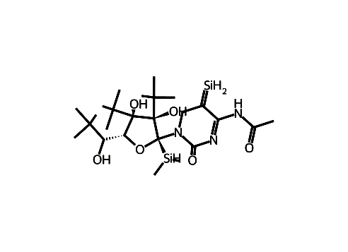 CC(=O)NC1=NC(=O)N([C@]2([SiH](C)C)O[C@H](C(O)C(C)(C)C)[C@](O)(C(C)(C)C)[C@]2(O)C(C)(C)C)CC1=[SiH2]